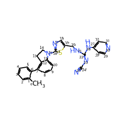 Cc1ccccc1-c1cccc2c1CCN2c1ncc(CN/C(=N\C#N)Nc2ccncc2)s1